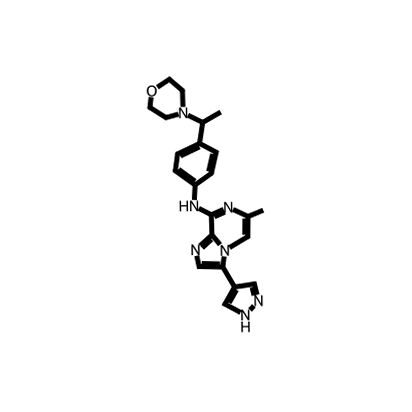 Cc1cn2c(-c3cn[nH]c3)cnc2c(Nc2ccc(C(C)N3CCOCC3)cc2)n1